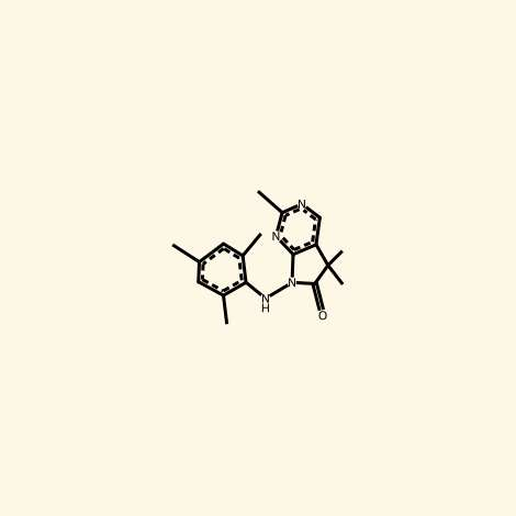 Cc1cc(C)c(NN2C(=O)C(C)(C)c3cnc(C)nc32)c(C)c1